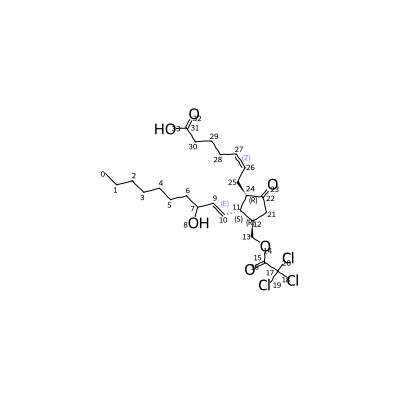 CCCCCCCC(O)/C=C/[C@H]1[C@H](COC(=O)C(Cl)(Cl)Cl)CC(=O)[C@@H]1C/C=C\CCCC(=O)O